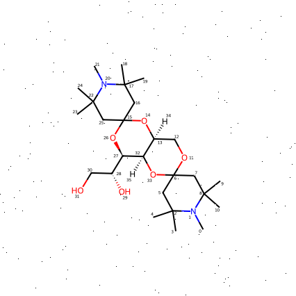 CN1C(C)(C)CC2(CC1(C)C)OC[C@@H]1OC3(CC(C)(C)N(C)C(C)(C)C3)O[C@H]([C@H](O)CO)[C@@H]1O2